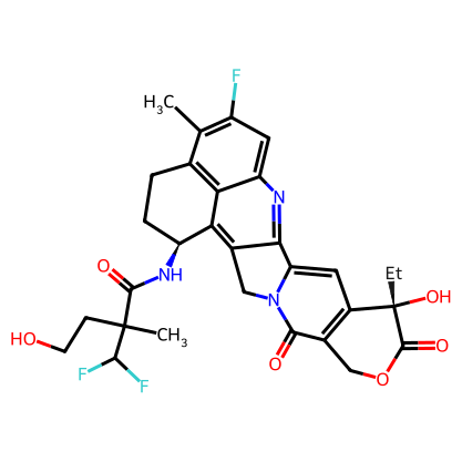 CC[C@@]1(O)C(=O)OCc2c1cc1n(c2=O)Cc2c-1nc1cc(F)c(C)c3c1c2[C@@H](NC(=O)C(C)(CCO)C(F)F)CC3